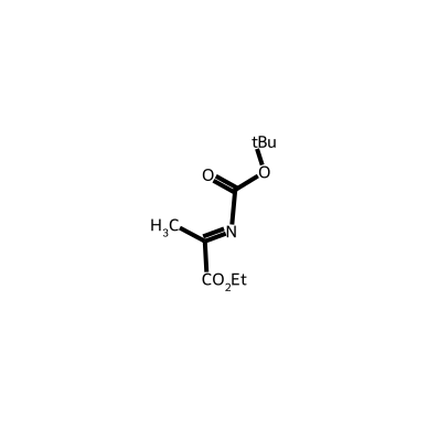 CCOC(=O)/C(C)=N/C(=O)OC(C)(C)C